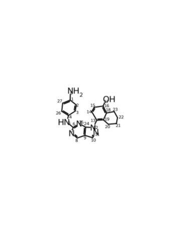 Nc1ccc(Nc2ncc3cnn(-c4ccc(O)c5c4CCCC5)c3n2)cc1